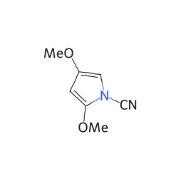 COc1cc(OC)n(C#N)c1